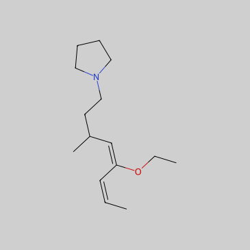 C/C=C\C(=C/C(C)CCN1CCCC1)OCC